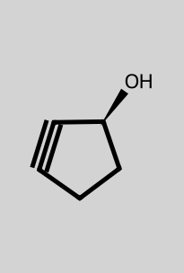 O[C@@H]1C#CCC1